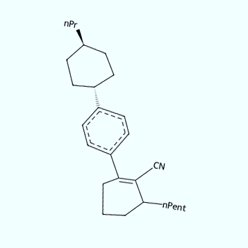 CCCCCC1CCCC(c2ccc([C@H]3CC[C@H](CCC)CC3)cc2)=C1C#N